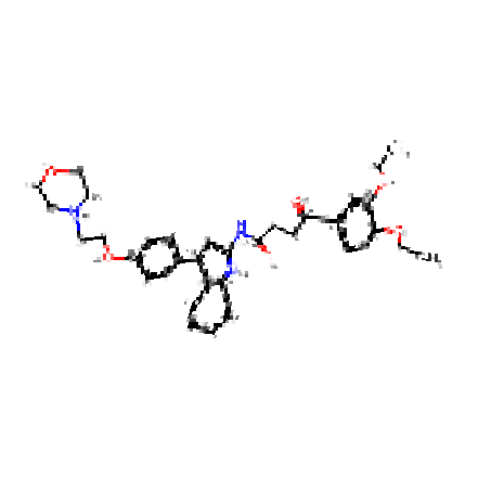 CCOc1ccc(C(=O)CCC(=O)Nc2cc(-c3ccc(OCCN4CCOCC4)cc3)c3ccccc3n2)cc1OCC